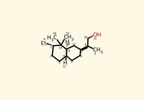 CC[C@@H]1CC[C@H]2CC/C(=C(\C)CO)C[C@@H]2C1(C)C